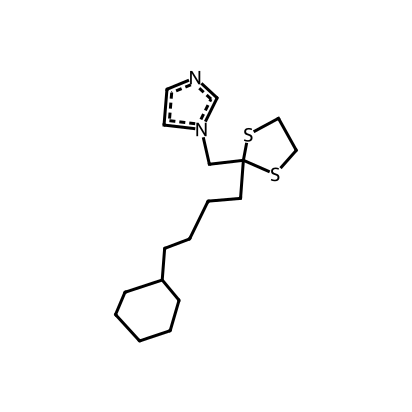 c1cn(CC2(CCCCC3CCCCC3)SCCS2)cn1